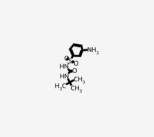 CC(C)(C)NC(=O)NS(=O)(=O)c1cccc(N)c1